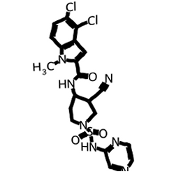 Cn1c(C(=O)NC2CCN(S(=O)(=O)Nc3cnccn3)CC2C#N)cc2c(Cl)c(Cl)ccc21